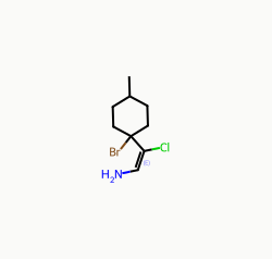 CC1CCC(Br)(/C(Cl)=C\N)CC1